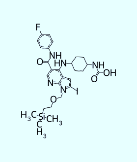 C[Si](C)(C)CCOCn1c(I)cc2c(NC3CCC(NC(=O)O)CC3)c(C(=O)Nc3ccc(F)cc3)cnc21